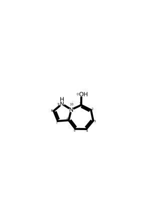 OC1=CC=CC=C2C=CNN12